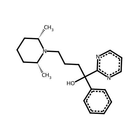 C[C@@H]1CCC[C@H](C)N1CCCC(O)(c1ccccc1)c1ncccn1